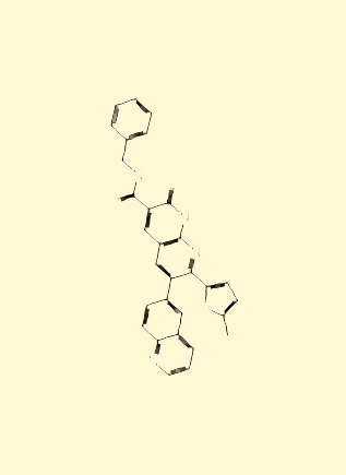 Cc1ccc(-c2nc3[nH]c(=O)c(C(=O)NCc4ccccc4)cc3cc2-c2ccc3ncccc3c2)o1